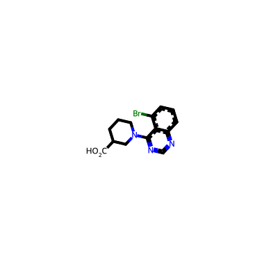 O=C(O)C1CCCN(c2ncnc3cccc(Br)c23)C1